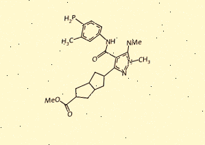 CNc1c(C(=O)Nc2ccc(P)c(C)c2)c(C2CC3CC(C(=O)OC)CC3C2)nn1C